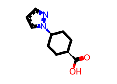 O=C(O)[C@H]1CC[C@@H](n2cccn2)CC1